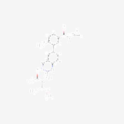 COC(C)C(Nc1ncc2cc(-c3cc(C(=O)NC4CC4)ccc3C)ccc2n1)C(=O)O